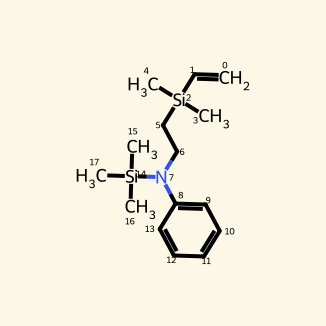 C=C[Si](C)(C)CCN(c1ccccc1)[Si](C)(C)C